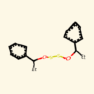 CCC(OSSOC(CC)c1ccccc1)c1ccccc1